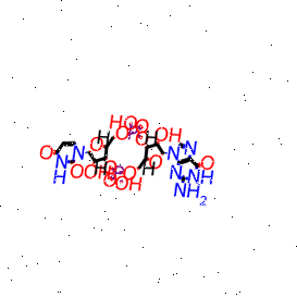 Nc1nc2c(ncn2[C@@H]2O[C@@H]3COP(=O)(O)O[C@@H]4C(O)[C@H](n5ccc(=O)[nH]c5=O)O[C@@H]4COP(=O)(O)O[C@@H]3C2O)c(=O)[nH]1